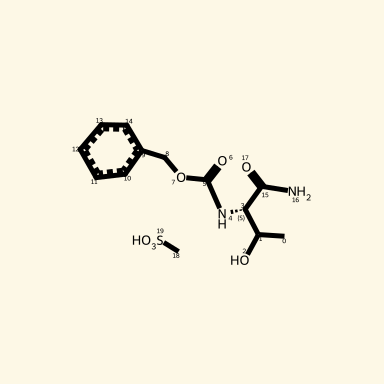 CC(O)[C@H](NC(=O)OCc1ccccc1)C(N)=O.CS(=O)(=O)O